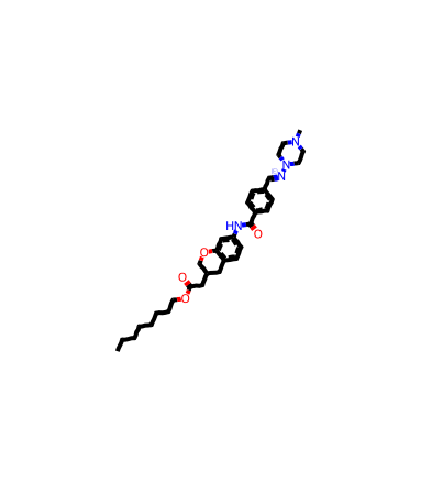 CCCCCCCCOC(=O)CC1COc2cc(NC(=O)c3ccc(/C=N/N4CCN(C)CC4)cc3)ccc2C1